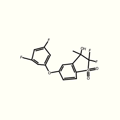 CC1(O)c2cc(Oc3cc(F)cc(F)c3)ccc2S(=O)(=O)C1(F)F